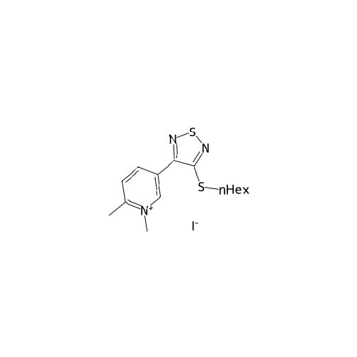 CCCCCCSc1nsnc1-c1ccc(C)[n+](C)c1.[I-]